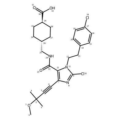 COC(C)(C)C#Cc1nc(Cl)n(CCc2ccc(Cl)cc2)c1C(=O)NC[C@H]1CC[C@H](C(=O)O)CC1